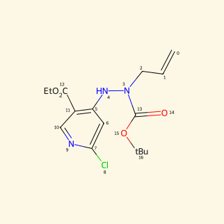 C=CCN(Nc1cc(Cl)ncc1C(=O)OCC)C(=O)OC(C)(C)C